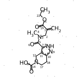 C=C(CN(C)C(=O)c1[nH]nc2c1CN(C(=O)O)CC2)C(=O)OCC